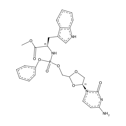 COC(=O)[C@@H](Cc1c[nH]c2ccccc12)NP(=O)(OCC1OC[C@@H](n2ccc(N)nc2=O)O1)Oc1ccccc1